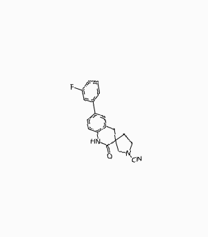 N#CN1CCC2(Cc3cc(-c4cccc(F)c4)ccc3NC2=O)C1